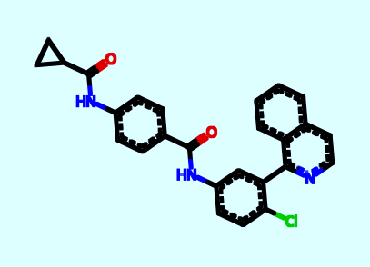 O=C(Nc1ccc(Cl)c(-c2nccc3ccccc23)c1)c1ccc(NC(=O)C2CC2)cc1